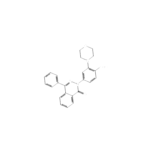 O=Cc1ccc(-n2nc(-c3ccccc3)c3ccccc3c2=O)cc1N1CCOCC1